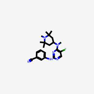 CN(c1nc(Nc2cccc(C#N)c2)ncc1F)C1CC(C)(C)N(C)C(C)(C)C1